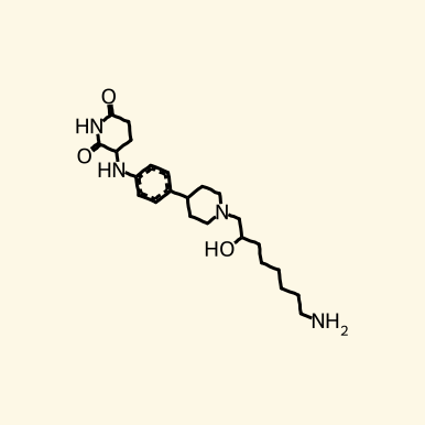 NCCCCCCC(O)CN1CCC(c2ccc(NC3CCC(=O)NC3=O)cc2)CC1